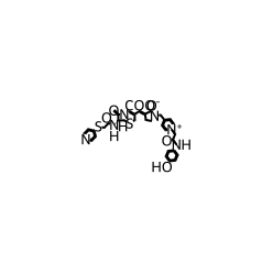 O=C(C[n+]1ccc(CN2CC/C(=C\C3=C(C(=O)[O-])N4C(=O)[C@@H](NC(=O)CSc5ccncc5)[C@H]4SC3)C2=O)cc1)Nc1ccc(O)cc1